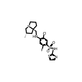 C[C@@H]1CN2CCC[C@]2(CNc2cc(F)c(S(=O)(=O)Nc3nccs3)cc2Cl)C1